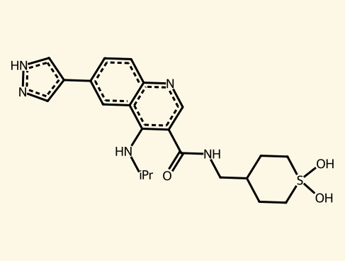 CC(C)Nc1c(C(=O)NCC2CCS(O)(O)CC2)cnc2ccc(-c3cn[nH]c3)cc12